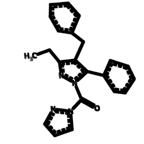 CCc1nn(C(=O)n2cccn2)c(-c2ccccc2)c1Cc1ccccc1